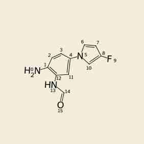 Nc1ccc(-n2ccc(F)c2)cc1NC=O